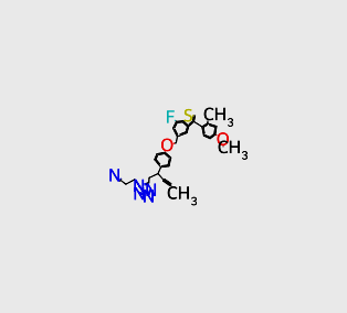 CC#CC(Cc1nnnn1CCC#N)c1ccc(OCc2cc(F)c3scc(-c4ccc(OC)cc4C)c3c2)cc1